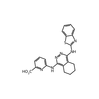 O=C(O)c1cccc(Nc2nnc(Nc3nc4ccccc4s3)c3c2CCCC3)n1